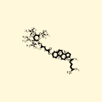 CC(C)CCCC(C)[C@H]1CC[C@H]2C3CC=C4C[C@@H](OC(=O)CCC(=O)OC[C@H]5OC(O[Si](C)(C)C)[C@H](O[Si](C)(C)C)[C@@H](O[Si](C)(C)C)[C@@H]5O[Si](C)(C)C)CC[C@]4(C)[C@H]3CC[C@]12C